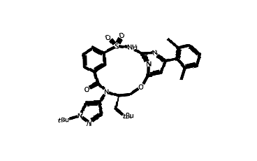 Cc1cccc(C)c1-c1cc2nc(n1)NS(=O)(=O)c1cccc(c1)C(=O)N(c1cnn(C(C)(C)C)c1)[C@H](CC(C)(C)C)CO2